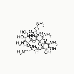 NCCC(O)CNC[C@H]1O[C@H](OC2[C@@H](N)C[C@@H](NC(=O)C3(O)CC(N)C3)[C@H](O[C@H]3O[C@H](CO)[C@@H](O)[C@H](N)[C@H]3O)[C@H]2O)[C@H](N)[C@@H](O)[C@@H]1O